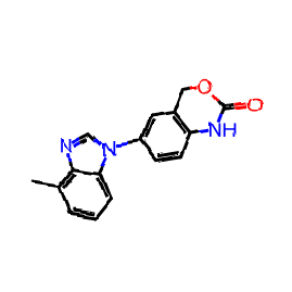 Cc1cccc2c1ncn2-c1ccc2c(c1)COC(=O)N2